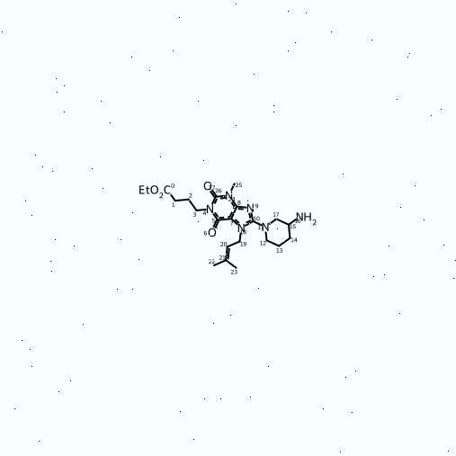 CCOC(=O)CCCn1c(=O)c2c(nc(N3CCCC(N)C3)n2CC=C(C)C)n(C)c1=O